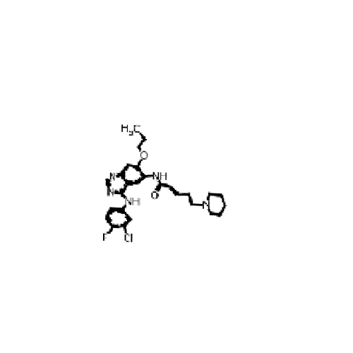 CCCOc1cc2ncnc(Nc3ccc(F)c(Cl)c3)c2cc1NC(=O)C=CCCN1CCCCC1